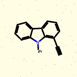 C#Cc1cccc2c3ccccc3n(C(C)C)c12